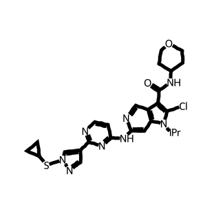 CC(C)n1c(Cl)c(C(=O)NC2CCOCC2)c2cnc(Nc3ccnc(-c4cnn(SC5CC5)c4)n3)cc21